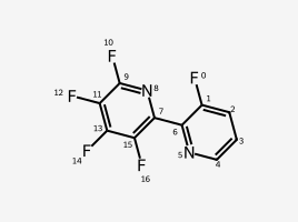 Fc1cccnc1-c1nc(F)c(F)c(F)c1F